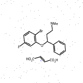 CNCCC(Oc1cc(F)ccc1Br)c1ccccc1.O=C(O)/C=C/C(=O)O